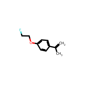 C=C(C)c1ccc(OCCF)cc1